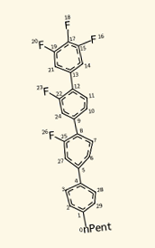 CCCCCc1ccc(-c2ccc(-c3ccc(-c4cc(F)c(F)c(F)c4)c(F)c3)c(F)c2)cc1